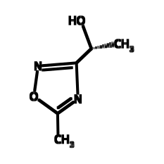 Cc1nc([C@@H](C)O)no1